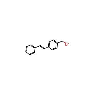 BrCc1ccc(C=Cc2ccccc2)cc1